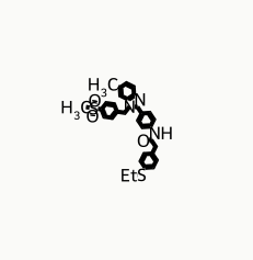 CCSc1ccc(CC(=O)Nc2ccc(-c3nc4ccc(C)cc4n3Cc3ccc(S(C)(=O)=O)cc3)cc2)cc1